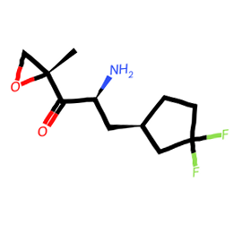 C[C@]1(C(=O)[C@@H](N)C[C@H]2CCC(F)(F)C2)CO1